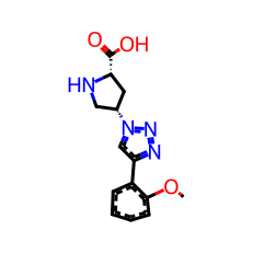 COc1ccccc1-c1cn([C@@H]2CN[C@H](C(=O)O)C2)nn1